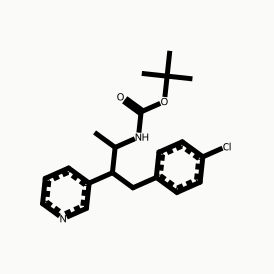 CC(NC(=O)OC(C)(C)C)C(Cc1ccc(Cl)cc1)c1cccnc1